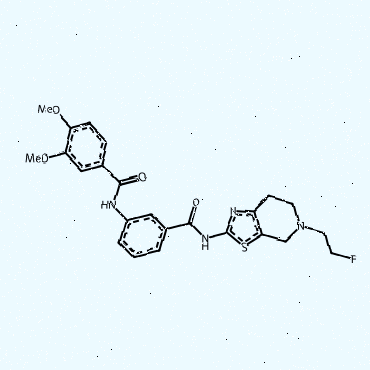 COc1ccc(C(=O)Nc2cccc(C(=O)Nc3nc4c(s3)CN(CCF)CC4)c2)cc1OC